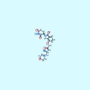 O=C1CC[C@@H](N2Cc3c(OCc4cc(CN5CCOCC5)no4)cccc3C2=O)C(=O)N1